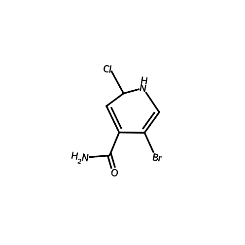 NC(=O)C1=CC(Cl)NC=C1Br